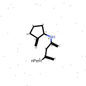 C=C(CCCCC)CC(=C)NC1CCCC1=C